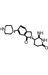 N=C1NC(=O)CCC1N1Cc2ccc(N3CCNCC3)cc2C1=O